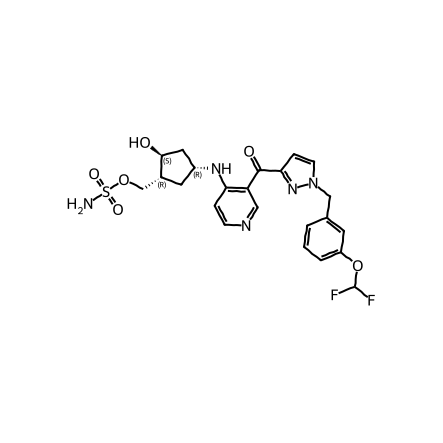 NS(=O)(=O)OC[C@H]1C[C@@H](Nc2ccncc2C(=O)c2ccn(Cc3cccc(OC(F)F)c3)n2)C[C@@H]1O